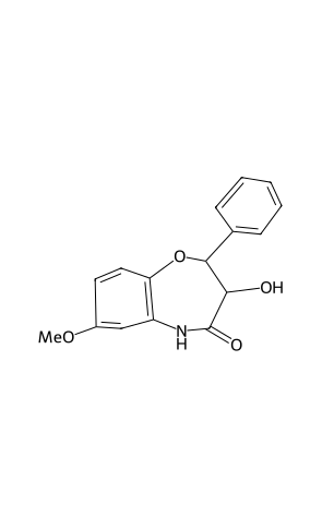 COc1ccc2c(c1)NC(=O)C(O)C(c1ccccc1)O2